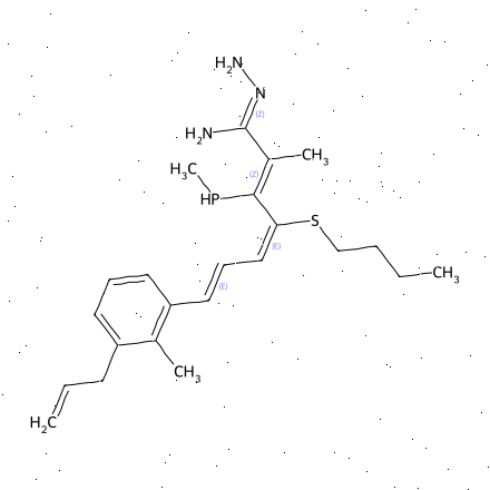 C=CCc1cccc(/C=C/C=C(SCCCC)\C(PC)=C(C)\C(N)=N\N)c1C